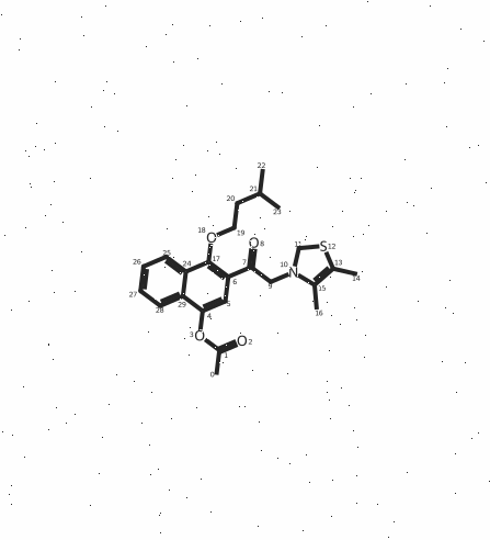 CC(=O)Oc1cc(C(=O)CN2CSC(C)=C2C)c(OCCC(C)C)c2ccccc12